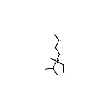 C[CH]CC[N+](C)(CC)C(C)C